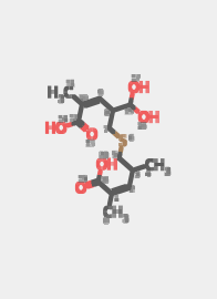 CC(=CC(C)CSCC(C=C(C)C(=O)O)C(O)O)C(=O)O